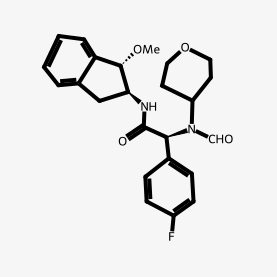 CO[C@H]1c2ccccc2C[C@@H]1NC(=O)[C@H](c1ccc(F)cc1)N(C=O)C1CCOCC1